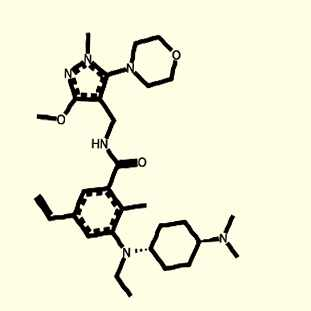 C=Cc1cc(C(=O)NCc2c(OC)nn(C)c2N2CCOCC2)c(C)c(N(CC)[C@H]2CC[C@H](N(C)C)CC2)c1